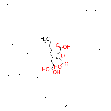 CCCCCCCCC(O)O.O=C(O)c1ccc(C(=O)O)o1